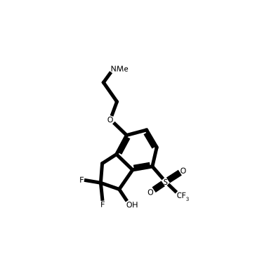 CNCCOc1ccc(S(=O)(=O)C(F)(F)F)c2c1CC(F)(F)C2O